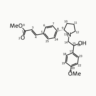 COC(=O)C=Cc1ccc([C@@H]2CCCN2CC(O)c2ccc(OC)cc2)cc1